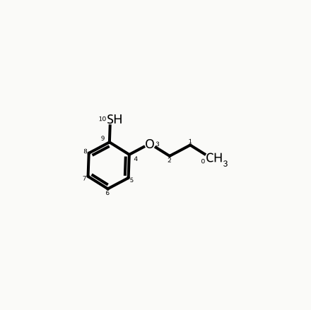 CCCOc1ccccc1S